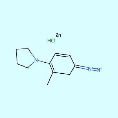 CC1=C(N2CCCC2)C=CC(=[N+]=[N-])C1.Cl.[Zn]